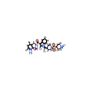 Cc1cc(C)c(CNC(=O)c2c(C)n([C@H](C)C3CCN(S(=O)(=O)C4CCN(C)CC4)CC3)c3ccccc23)c(=O)[nH]1